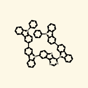 c1ccc(-n2c3ccccc3c3cc(-c4ccc5c6ccccc6n(-c6ccc7sc8c(-n9c%10ccccc%10c%10ccc(-c%11ccc%12c(c%11)c%11ccccc%11n%12-c%11ccccc%11)cc%109)ncnc8c7c6)c5c4)ccc32)cc1